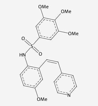 COc1ccc(NS(=O)(=O)c2cc(OC)c(OC)c(OC)c2)c(C=Cc2ccncc2)c1